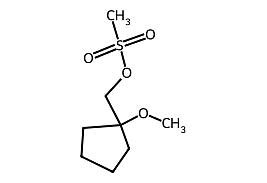 COC1(COS(C)(=O)=O)CCCC1